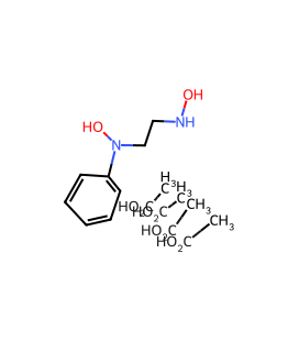 CC(=O)O.CC(=O)O.CC(=O)O.CC(=O)O.ONCCN(O)c1ccccc1